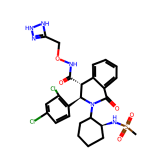 CS(=O)(=O)N[C@H]1CCCCC1N1C(=O)c2ccccc2[C@@H](C(=O)NOCc2n[nH][nH]2)[C@@H]1c1ccc(Cl)cc1Cl